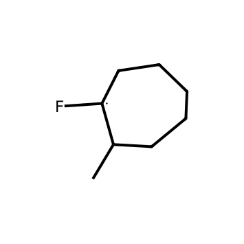 CC1CCCCC[C]1F